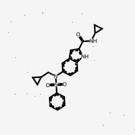 O=C(NC1CC1)c1cc2cc(N(CC3CC3)S(=O)(=O)c3ccccc3)ccc2[nH]1